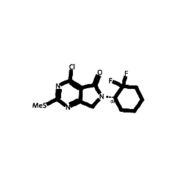 CSc1nc(Cl)c2c(n1)CN([C@H]1CCCCC1(F)F)C2=O